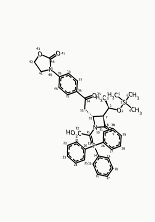 C[C@@H](O[Si](C)(C)C)[C@H]1C(=O)N(C(C(=O)O)=P(c2ccccc2)(c2ccccc2)c2ccccc2)[C@@H]1CC(=O)c1ccc(N2CCOC2=O)cc1